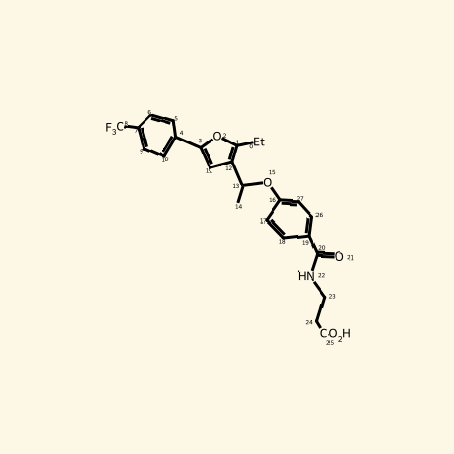 CCc1oc(-c2ccc(C(F)(F)F)cc2)cc1C(C)Oc1ccc(C(=O)NCCC(=O)O)cc1